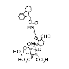 COC(=O)[C@H]1O[C@@H](Oc2ccc(C=O)c(OCCCNC(=O)OCC3c4ccccc4-c4ccccc43)c2)[C@H](CC(=O)O)[C@@H](CC(=O)O)[C@@H]1CC(=O)O